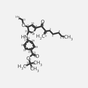 C=C(CCCCC)C(=O)C1=CC(OCI)C(Nc2ccc(C(=O)OC(C)(C)C)cc2)S1